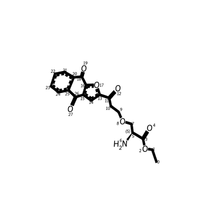 CCOC(=O)[C@@H](N)COCCC(=O)c1cc2c(o1)C(=O)c1ccccc1C2=O